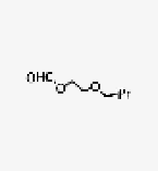 CC(C)COCCOC=O